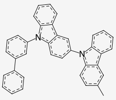 Cc1ccc2c(c1)c1ccccc1n2-c1ccc2c(c1)c1ccccc1n2-c1cccc(-c2ccccc2)c1